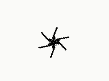 CCCCCCCCCCCc1ccc(OC(=O)c2c(C(=O)Oc3ccc(CCCCCCCCCCC)cc3)c(C(=O)Oc3ccc(CCCCCCCCCCC)cc3)c(C(=O)Oc3ccc(CCCCCCCCCCC)cc3)c(C(=O)Oc3ccc(CCCCCCCCCCC)cc3)c2C(=O)Oc2ccc(CCCCCCCCCCC)cc2)cc1